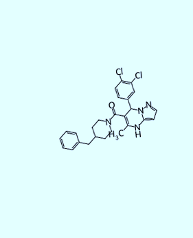 CC1=C(C(=O)N2CCC(Cc3ccccc3)CC2)C(c2ccc(Cl)c(Cl)c2)n2nccc2N1